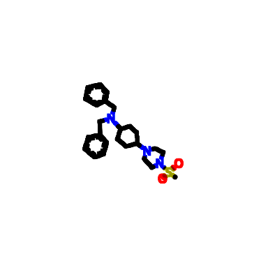 CS(=O)(=O)N1CCN(C2CCC(N(Cc3ccccc3)Cc3ccccc3)CC2)CC1